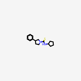 S=C(NC1CCCC1)N1CCC(c2ccccc2)C1